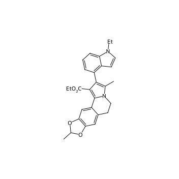 CCOC(=O)c1c(-c2cccc3c2ccn3CC)c(C)n2c1-c1cc3c(cc1CC2)OC(C)O3